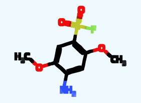 COc1cc(S(=O)(=O)F)c(OC)cc1N